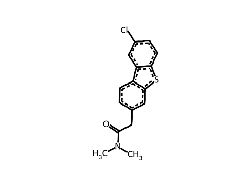 CN(C)C(=O)Cc1ccc2c(c1)sc1ccc(Cl)cc12